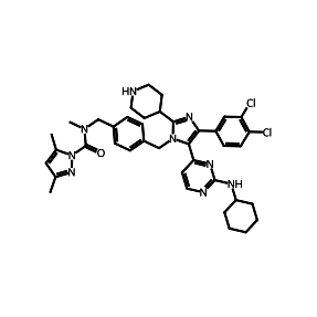 Cc1cc(C)n(C(=O)N(C)Cc2ccc(Cn3c(C4CCNCC4)nc(-c4ccc(Cl)c(Cl)c4)c3-c3ccnc(NC4CCCCC4)n3)cc2)n1